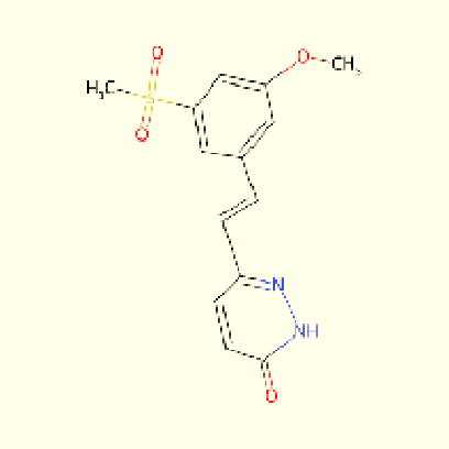 COc1cc(/C=C/c2ccc(=O)[nH]n2)cc(S(C)(=O)=O)c1